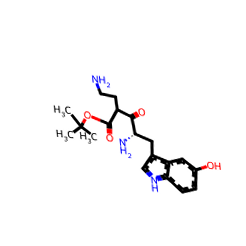 CC(C)(C)OC(=O)C(CCN)C(=O)[C@@H](N)Cc1c[nH]c2ccc(O)cc12